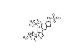 CC(C)(C)OC(=O)C(Cc1ccc(NS(=O)(=O)O)cc1)c1csc(NC(=O)C(C)(C)C)n1